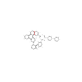 C1=C(c2ccc(-c3ccccc3)cc2)N=C(c2ccc3oc4cccc(-c5ccc6c7ccccc7c7ccccc7c6c5)c4c3c2)N=C(c2ccccc2)C1